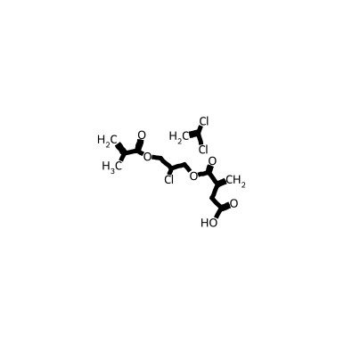 C=C(C)C(=O)OCC(Cl)COC(=O)C(=C)CC(=O)O.C=C(Cl)Cl